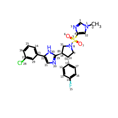 Cn1cnc(S(=O)(=O)N2C[C@H](c3ccc(F)cc3)[C@@H](c3ncc(-c4cccc(Cl)c4)[nH]3)C2)c1